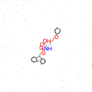 O=C(N[C@@H](CCCCOc1ccccc1)C(=O)O)OCC1c2ccccc2-c2ccccc21